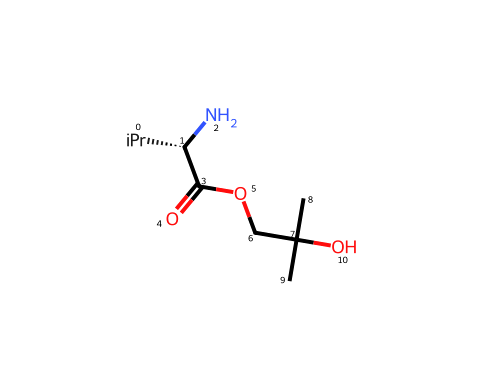 CC(C)[C@H](N)C(=O)OCC(C)(C)O